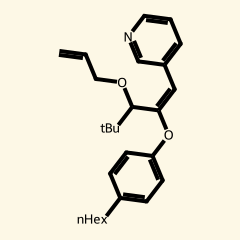 C=CCOC(/C(=C\c1cccnc1)Oc1ccc(CCCCCC)cc1)C(C)(C)C